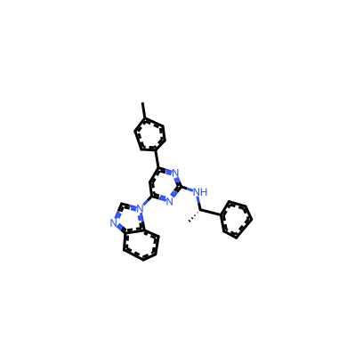 Cc1ccc(-c2cc(-n3cnc4ccccc43)nc(N[C@@H](C)c3ccccc3)n2)cc1